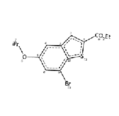 CCOC(=O)c1cc2cc(OC(C)C)cc(Br)c2s1